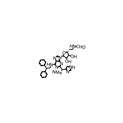 CNC(c1c[nH]cn1)c1nc(NCC(c2ccccc2)c2ccccc2)c2ncn([C@@H]3O[C@H](CCNC=O)[C@@H](O)[C@H]3O)c2n1